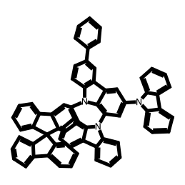 c1ccc(-c2ccc3c(c2)c2cc(-n4c5ccccc5c5ccccc54)cc(-n4c5ccccc5c5ccccc54)c2n3-c2ccc3c(c2)-c2ccccc2C32c3ccccc3-c3ccccc32)cc1